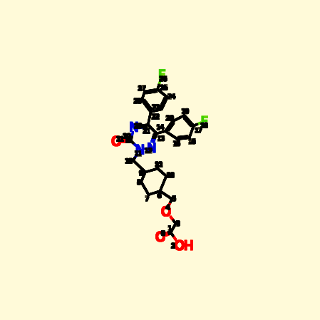 O=C(O)COCC1CCC(Cn2nc(-c3ccc(F)cc3)c(-c3ccc(F)cc3)nc2=O)CC1